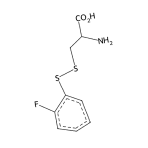 NC(CSSc1ccccc1F)C(=O)O